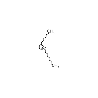 CCCCCCCCC[n+]1cccc(CCCCCCC)c1